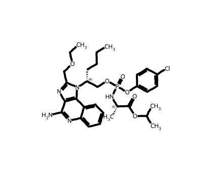 CCCC[C@H](COP(=O)(N[C@@H](C)C(=O)OC(C)C)Oc1ccc(Cl)cc1)n1c(COCC)nc2c(N)nc3ccccc3c21